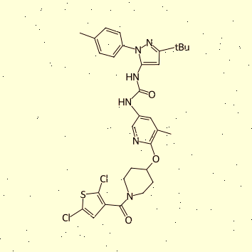 Cc1ccc(-n2nc(C(C)(C)C)cc2NC(=O)Nc2cnc(OC3CCN(C(=O)c4cc(Cl)sc4Cl)CC3)c(C)c2)cc1